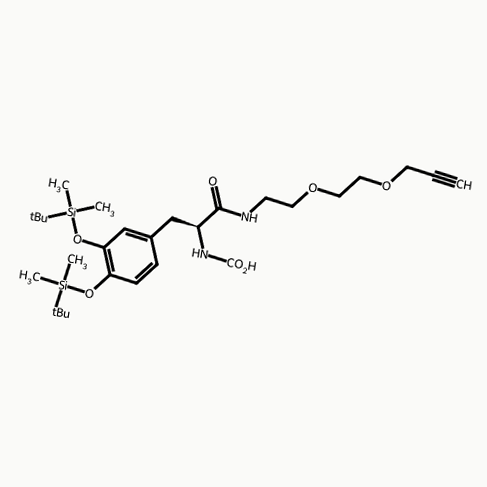 C#CCOCCOCCNC(=O)[C@H](Cc1ccc(O[Si](C)(C)C(C)(C)C)c(O[Si](C)(C)C(C)(C)C)c1)NC(=O)O